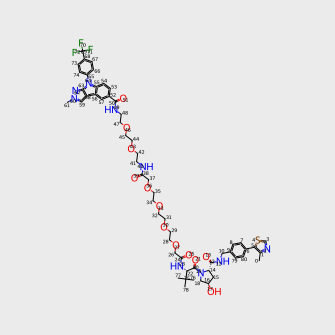 Cc1ncsc1-c1ccc(CNC(=O)[C@@H]2C[C@@H](O)CN2C(=O)[C@@H](NC(=O)COCCOCCOCCOCC(=O)NCCOCCOCCNC(=O)c2ccc3c(c2)c2cn(C)nc2n3-c2ccc(C(F)(F)F)cc2)C(C)(C)C)cc1